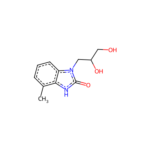 Cc1cccc2c1[nH]c(=O)n2CC(O)CO